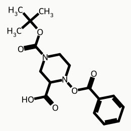 CC(C)(C)OC(=O)N1CCN(OC(=O)c2ccccc2)C(C(=O)O)C1